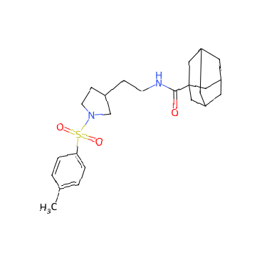 Cc1ccc(S(=O)(=O)N2CCC(CCNC(=O)C34CC5CC(CC(C5)C3)C4)C2)cc1